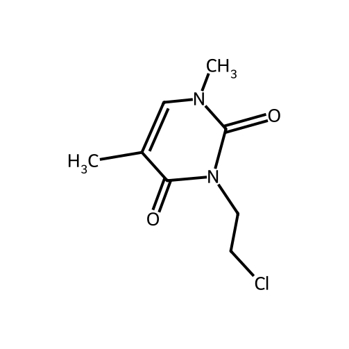 Cc1cn(C)c(=O)n(CCCl)c1=O